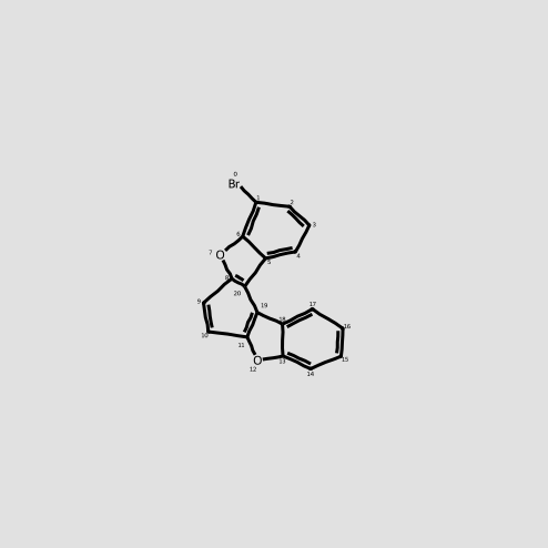 Brc1cccc2c1oc1ccc3oc4ccccc4c3c12